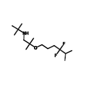 CC(C)C(F)(F)CCCOC(C)(C)CNC(C)(C)C